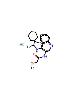 CCOCC(=O)Nc1cnc2ccccc2c1NC(CC)C1(C(=O)O)CCCCC1.Cl